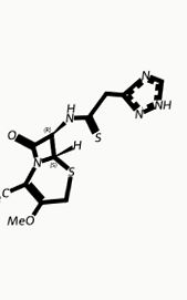 COC1=C(C(=O)O)N2C(=O)[C@@H](NC(=S)Cc3nc[nH]n3)[C@@H]2SC1